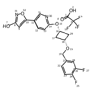 O=C(O)C(F)(F)F.Oc1cc(-c2ccc(O[C@H]3C[C@@H](OCc4ccc(F)c(F)c4)C3)nc2)on1